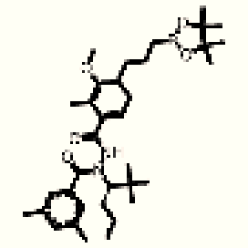 CCC[C@@H](N(NC(=O)C1=CCC(CCCB2OC(C)(C)C(C)(C)O2)C(OC)=C1C)C(=O)c1cc(C)cc(C)c1)C(C)(C)C